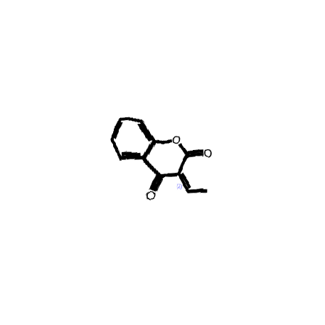 C/C=C1\C(=O)Oc2ccccc2C1=O